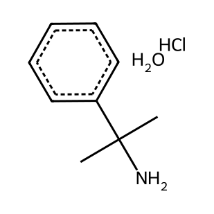 CC(C)(N)c1ccccc1.Cl.O